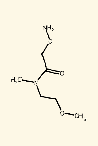 COCCN(C)C(=O)CON